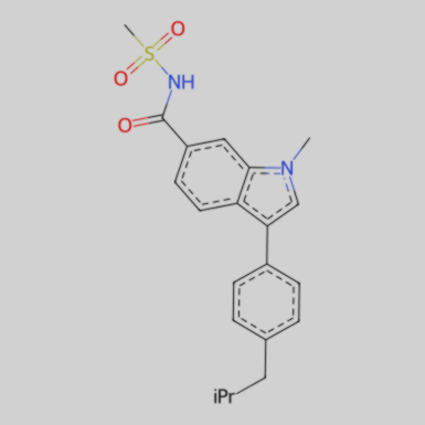 CC(C)Cc1ccc(-c2cn(C)c3cc(C(=O)NS(C)(=O)=O)ccc23)cc1